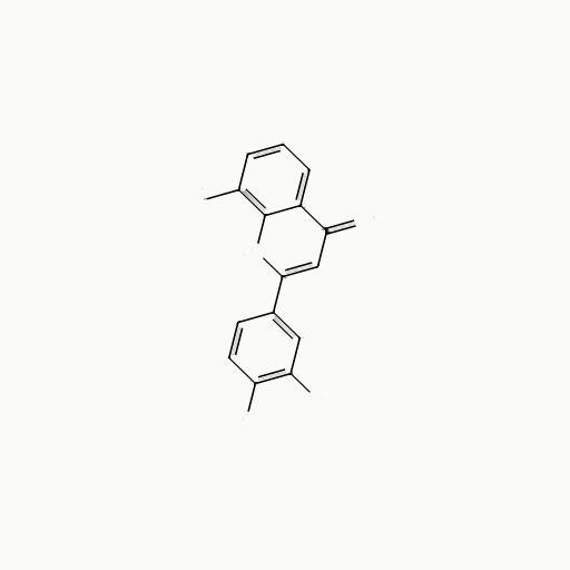 Cc1ccc(-c2cc(=O)c3cccc(Cl)c3o2)cc1O